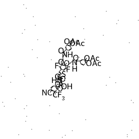 CC(=O)Oc1ccc(C(=O)NCCOc2c(OCCNC(=O)c3ccc(OC(C)=O)c(OC(C)=O)c3)c(F)c3sc(S(=O)(=O)NCP(=O)(O)Oc4ccc(C#N)c(C(F)(F)F)c4)cc3c2F)cc1OC(C)=O